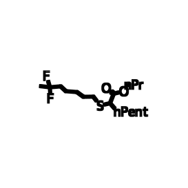 CCCCCC(SCCCCCC(C)(F)F)C(=O)OCCC